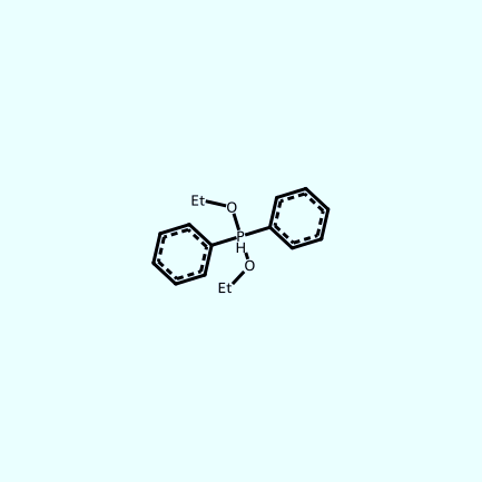 CCO[PH](OCC)(c1ccccc1)c1ccccc1